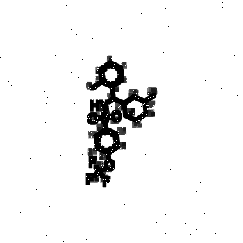 Cc1ccccc1C(NS(=O)(=O)c1ccc(OC(F)(F)F)cc1)C1CCCC(C)C1